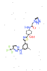 Cc1cc(Nc2nccc(C(F)(F)F)n2)cc(-c2cnc(C3(O)CCC(NC(=O)Cn4ccnn4)CC3)s2)c1